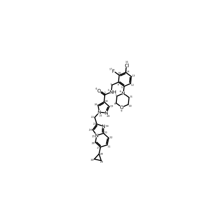 O=C(NCc1c(N2CCOCC2)ccc(Cl)c1F)c1cnn(Cc2cn3cc(C4CC4)ccc3n2)c1